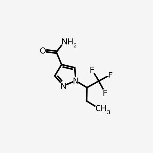 CCC(n1cc(C(N)=O)cn1)C(F)(F)F